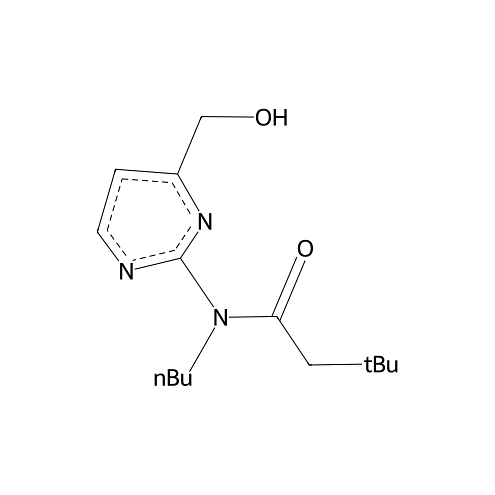 CCCCN(C(=O)CC(C)(C)C)c1nccc(CO)n1